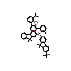 Cc1cccc(-c2cccc3c2oc2c(C(C)C)cccc23)c1N(c1ccc2c(c1)C(C)(C)c1ccccc1-2)c1ccc2c(c1)C(C)(C)c1cc(C(C)(C)C)ccc1-2